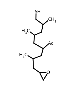 CC(=O)C(CC(C)CC(C)CS)CC(C)CC1CO1